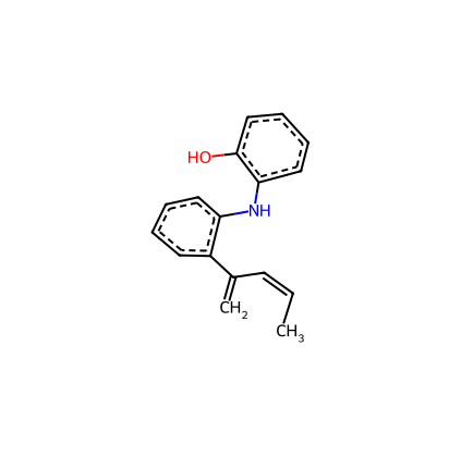 C=C(/C=C\C)c1ccccc1Nc1ccccc1O